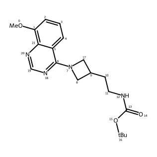 COc1cccc2c(N3CC(CCNC(=O)OC(C)(C)C)C3)ncnc12